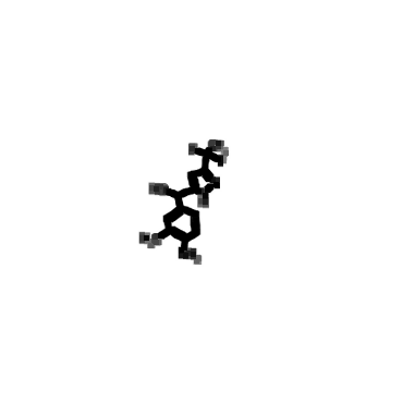 Cc1cc(C(O)c2cc(C(F)(F)C(F)(F)F)n[nH]2)ccc1N